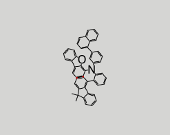 CC1(C)c2ccccc2-c2c(-c3ccccc3N(c3cccc(-c4cccc5ccccc45)c3)c3cccc4c3oc3ccccc34)cccc21